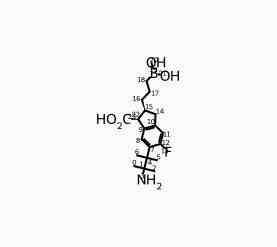 CC(C)(N)C(C)(C)c1cc2c(cc1F)C[C@H](CCCB(O)O)[C@@H]2C(=O)O